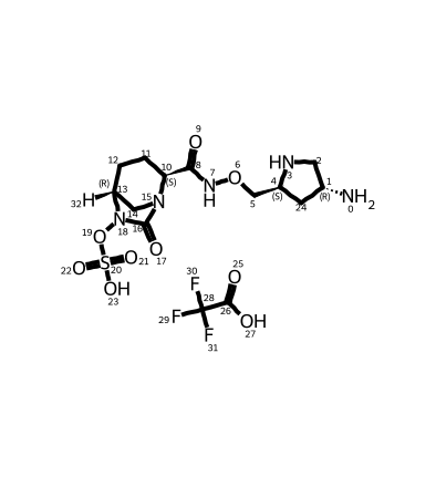 N[C@H]1CN[C@H](CONC(=O)[C@@H]2CC[C@@H]3CN2C(=O)N3OS(=O)(=O)O)C1.O=C(O)C(F)(F)F